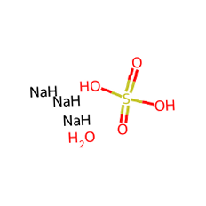 O.O=S(=O)(O)O.[NaH].[NaH].[NaH]